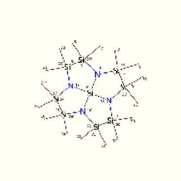 C[Si](C)(C)N([Si](C)(C)C)[Si](N([Si](C)(C)C)[Si](C)(C)C)(N([Si](C)(C)C)[Si](C)(C)C)N([Si](C)(C)C)[Si](C)(C)C